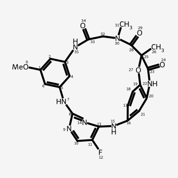 COc1cc2cc(c1)Nc1ncc(F)c(n1)Nc1ccc3c(c1)NC(=O)C(C)(O3)C(=O)N(C)CC(=O)N2